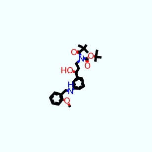 COc1ccccc1CNc1cccc(C(O)CCN(C(=O)OC(C)(C)C)C(=O)C(C)(C)C)c1